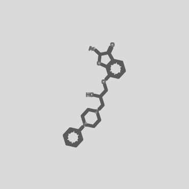 CC(=O)C1Oc2c(OCC(O)CN3CCN(c4ccccc4)CC3)cccc2C1=O